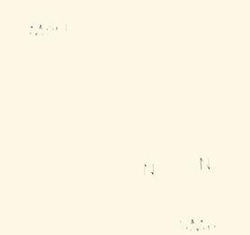 COc1ccc(-c2cnc(SC)n2C)cc1